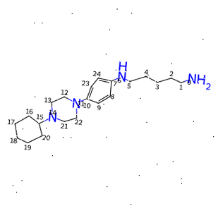 NCCCCCNc1ccc(N2CCN(C3CCCCC3)CC2)cc1